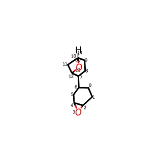 C1CC2OC2CC1C1CC[C@@H]2CC1O2